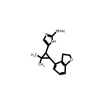 CC(=O)Nc1ncc(C2C(c3cccc4c3CCO4)C2(C)C)[nH]1